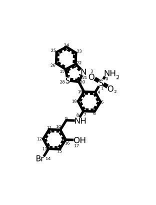 NS(=O)(=O)c1ccc(NCc2ccc(Br)cc2O)cc1-c1nc2ccccc2s1